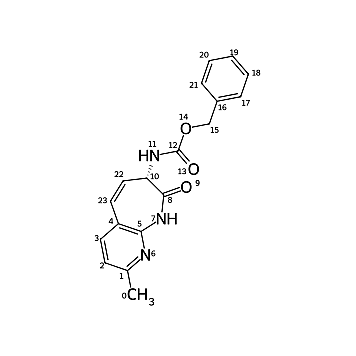 Cc1ccc2c(n1)NC(=O)[C@@H](NC(=O)OCc1ccccc1)C=C2